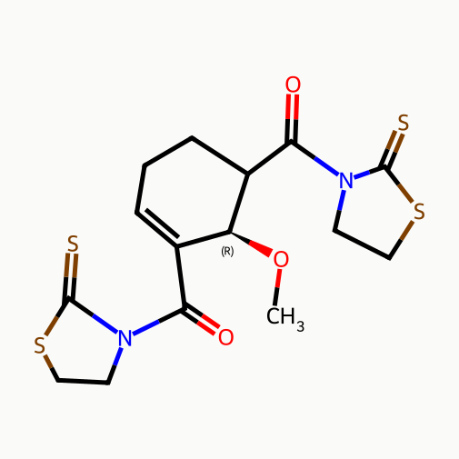 CO[C@H]1C(C(=O)N2CCSC2=S)=CCCC1C(=O)N1CCSC1=S